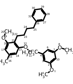 COc1cc(C)cc(OC)c1.COc1cc(C)cc(OC)c1CCCCc1ccccc1